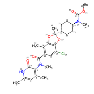 Cc1cc(C)c(N(C)C(=O)c2cc(Cl)c3c(c2C)OC(C)([C@H]2CC[C@H](N(C)C(=O)OC(C)(C)C)CC2)O3)c(=O)[nH]1